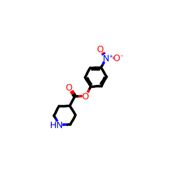 O=C(Oc1ccc([N+](=O)[O-])cc1)C1CCNCC1